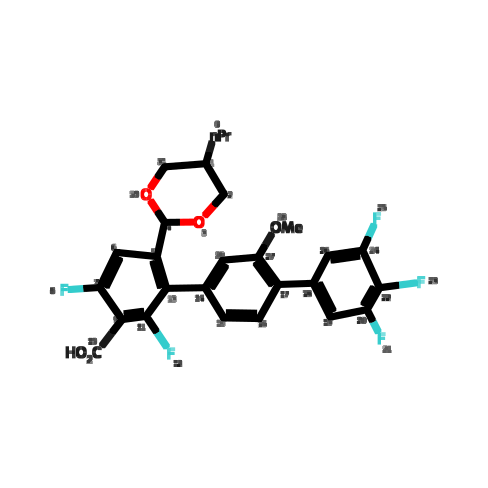 CCCC1COC(c2cc(F)c(C(=O)O)c(F)c2-c2ccc(-c3cc(F)c(F)c(F)c3)c(OC)c2)OC1